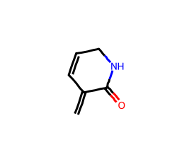 C=C1C=CCNC1=O